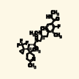 CNC(=O)c1ccc(C[C@@H](CNC(=O)C[C@@H](C2(C)C=CC(C)=NC2)C2(C(F)(F)F)CC2)N(C)C)c(C)c1F